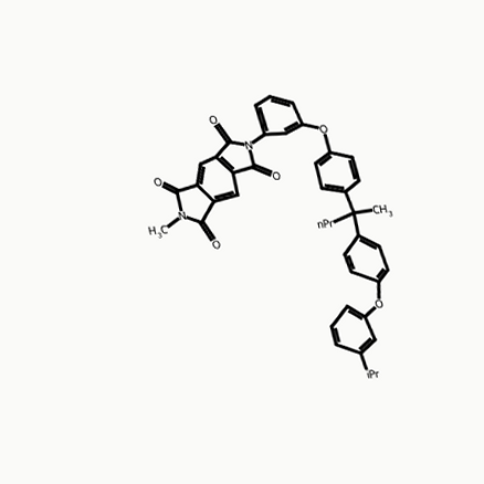 CCCC(C)(c1ccc(Oc2cccc(C(C)C)c2)cc1)c1ccc(Oc2cccc(-n3c(=O)c4cc5c(=O)n(C)c(=O)c5cc4c3=O)c2)cc1